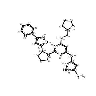 Cc1cc(Nc2cc(NC[C@H]3CCCO3)nc(N3CCC[C@H]3c3cc(-c4ccccn4)no3)n2)n[nH]1